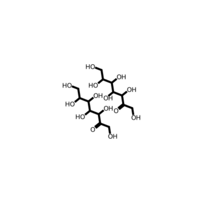 O=C(CO)C(O)C(O)C(O)C(O)CO.O=C(CO)C(O)C(O)C(O)C(O)CO